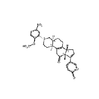 C[C@@]12C(=O)CC3=C(CC[C@@H]4C[C@@H](c5cc([N+](=O)[O-])ccc5OC(=O)O)CC[C@]34C)[C@@H]1CC=C2c1ccc(=O)oc1